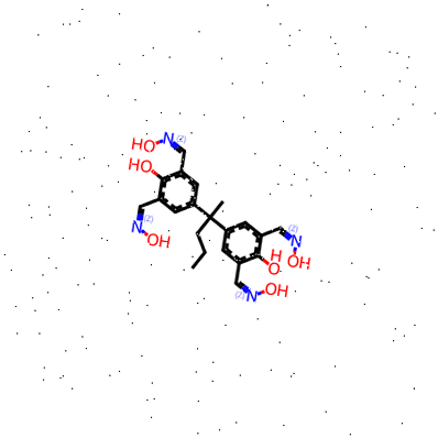 CCCC(C)(c1cc(/C=N\O)c(O)c(/C=N\O)c1)c1cc(/C=N\O)c(O)c(/C=N\O)c1